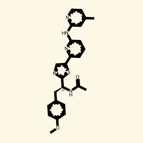 COc1ccc(C[C@H](NC(C)=O)c2ncc(-c3cccc(Nc4cc(C)ccn4)n3)s2)cc1